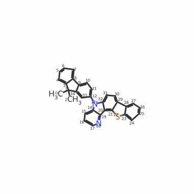 CC1(C)c2ccccc2-c2ccc(-n3c4cccnc4c4c5sc6ccccc6c5ccc43)cc21